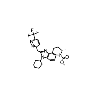 COC(=O)N1c2ccc3c(nc(Cc4ccc(C(F)(F)F)nn4)n3C3CCCCC3)c2CC[C@@H]1C